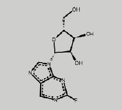 OC[C@H]1O[C@@H](n2cnc3cnc(F)nc32)[C@H](O)[C@@H]1O